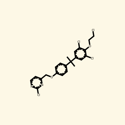 CC(C)(c1ccc(OCc2ccnc(Cl)n2)cc1)c1cc(Cl)c(OCCCl)c(Cl)c1